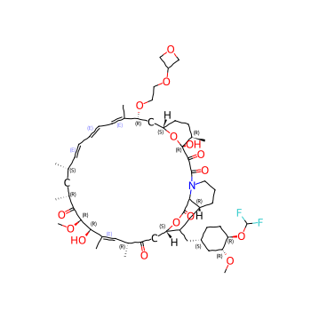 CO[C@@H]1C[C@H](CC2[C@H]3CCCN4C(=O)C(=O)[C@]5(O)O[C@@H](CC[C@H]5C)C[C@@H](OCCOC5COC5)/C(C)=C/C=C/C=C/[C@@H](C)C[C@@H](C)C(=O)[C@H](OC)[C@H](O)/C(C)=C/[C@@H](C)C(=O)C[C@@H]2OC(=O)C34)CC[C@H]1OC(F)F